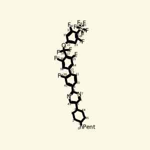 CCCCCC1CCC(c2cnc(-c3ccc(-c4cc(F)c(C(F)(F)Oc5cc(F)c(S(F)(F)(F)(F)F)c(F)c5)c(F)c4)c(F)c3)nc2)CC1